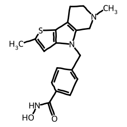 Cc1cc2c(s1)c1c(n2Cc2ccc(C(=O)NO)cc2)CN(C)CC1